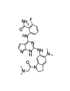 CN(C)CC(=O)N1CCc2cc(N(C)C)c(Nc3nc(Nc4cccc(F)c4C(N)=O)c4ccnc-4[nH]3)cc21